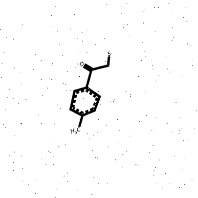 Cc1ccc(C(=O)C[S])cc1